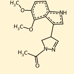 COc1ccc2[nH]cc(C3C=NN(C(C)=O)C3)c2c1OC